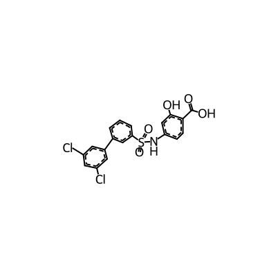 O=C(O)c1ccc(NS(=O)(=O)c2cccc(-c3cc(Cl)cc(Cl)c3)c2)cc1O